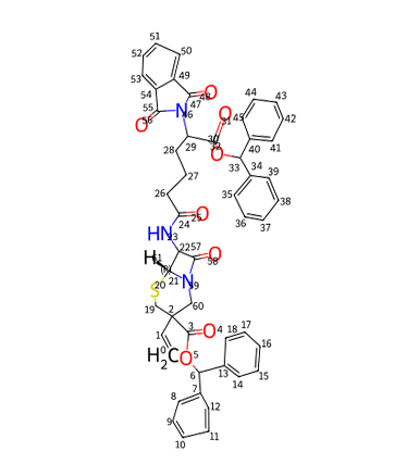 C=CC1(C(=O)OC(c2ccccc2)c2ccccc2)CS[C@@H]2C(NC(=O)CCCC(C(=O)OC(c3ccccc3)c3ccccc3)N3C(=O)c4ccccc4C3=O)C(=O)N2C1